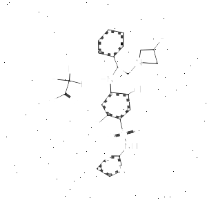 O=C(O)C(F)(F)F.O=S(=O)(Nc1nccs1)c1cc(Cl)c(N[C@H](CN2CC(F)C2)c2ccccc2)cc1F